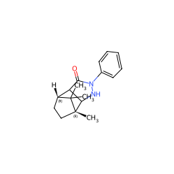 CC1(C)[C@@H]2CC[C@@]1(C)C1NN(c3ccccc3)C(=O)C12